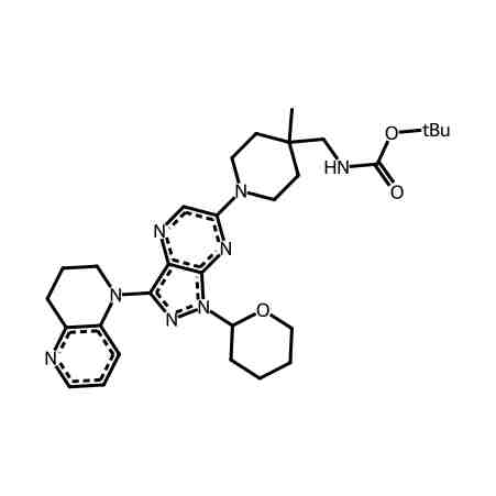 CC1(CNC(=O)OC(C)(C)C)CCN(c2cnc3c(N4CCCc5ncccc54)nn(C4CCCCO4)c3n2)CC1